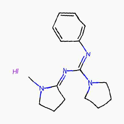 CN1CCCC1=NC(=Nc1ccccc1)N1CCCC1.I